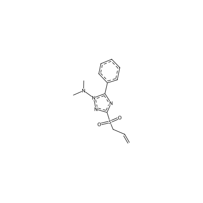 C=CCS(=O)(=O)c1nc(-c2ccccc2)n(N(C)C)n1